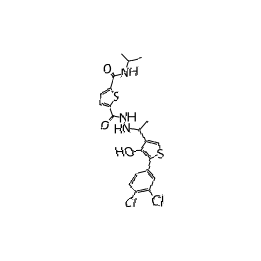 CC(C)NC(=O)c1ccc(C(=O)NNC(C)c2csc(-c3ccc(Cl)c(Cl)c3)c2O)s1